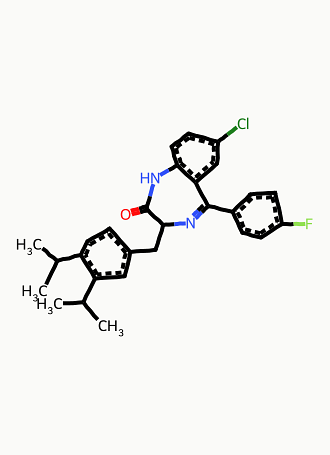 CC(C)c1ccc(CC2N=C(c3ccc(F)cc3)c3cc(Cl)ccc3NC2=O)cc1C(C)C